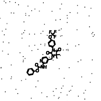 CC1(C)C(=O)N(c2ccc(OC(F)(F)F)cc2)C(=O)N1Cc1ccnc(NC(=O)Oc2ccccc2)c1